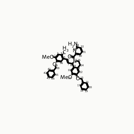 COc1cc(C)c(/C=C/C2c3cc(OC)c(OCc4ccccc4)cc3CCN2C(=O)c2cccc(N)n2)cc1OCc1ccccc1